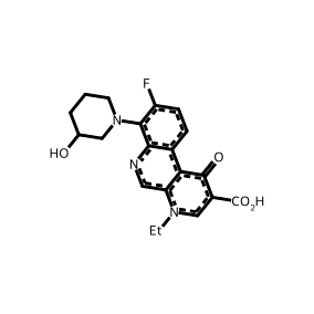 CCn1cc(C(=O)O)c(=O)c2c3ccc(F)c(N4CCCC(O)C4)c3ncc21